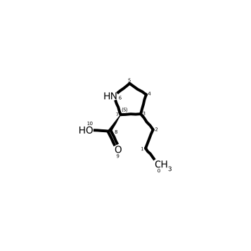 CCCC1CCN[C@@H]1C(=O)O